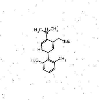 Cc1cccc(C)c1C1C=C(CC(C)(C)C)C([SiH](C)C)=CN1